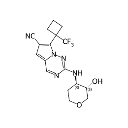 N#Cc1cc2cnc(N[C@@H]3CCOC[C@H]3O)nn2c1C1(C(F)(F)F)CCC1